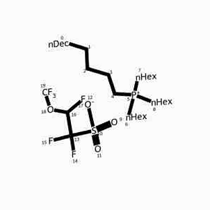 CCCCCCCCCCCCCC[P+](CCCCCC)(CCCCCC)CCCCCC.O=S(=O)([O-])C(F)(F)C(F)OC(F)(F)F